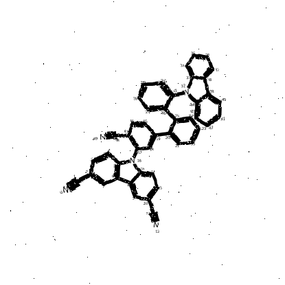 N#Cc1ccc2c(c1)c1cc(C#N)ccc1n2-c1cc(-c2ccccc2-c2ccccc2-n2c3ccccc3c3ccccc32)ccc1C#N